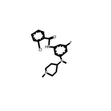 CN1CCC(N(C)c2cc(F)cc(NC(=O)c3ccccc3Cl)c2)CC1